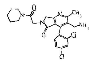 Cc1nc2c(c(-c3ccc(Cl)cc3Cl)c1CN)C(=O)N(CC(=O)N1CCCCC1)C2